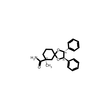 C[C@]1(C(N)=O)CCCC2(C1)O[C@H](c1ccccc1)[C@@H](c1ccccc1)O2